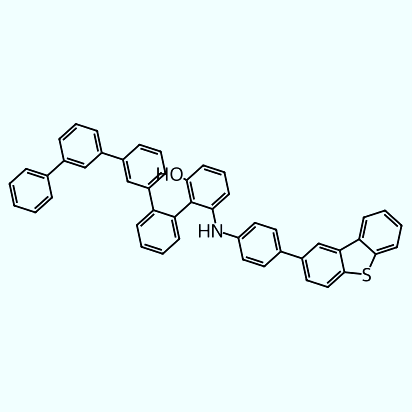 Oc1cccc(Nc2ccc(-c3ccc4sc5ccccc5c4c3)cc2)c1-c1ccccc1-c1cccc(-c2cccc(-c3ccccc3)c2)c1